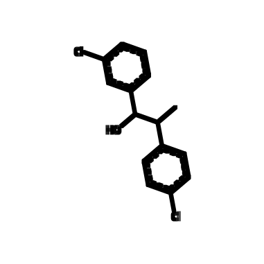 CC(c1ccc(Cl)cc1)C(O)c1cccc(Cl)c1